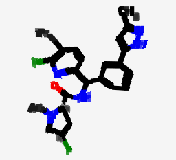 CC(=O)N1C[C@H](F)C[C@H]1C(=O)NC(c1cccc(-c2cc(C)n[nH]2)c1)c1ccc(C(C)C)c(F)n1